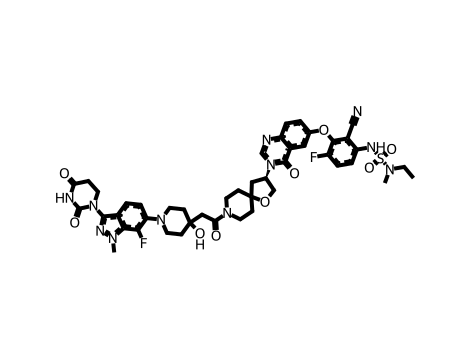 CCN(C)S(=O)(=O)Nc1ccc(F)c(Oc2ccc3ncn([C@H]4COC5(CCN(C(=O)CC6(O)CCN(c7ccc8c(N9CCC(=O)NC9=O)nn(C)c8c7F)CC6)CC5)C4)c(=O)c3c2)c1C#N